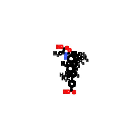 C=C(C)[C@]1(C)CC[C@]2(C(=O)N[C@@H](C)C(=O)O)CC[C@]3(C)[C@H](CC[C@@H]4[C@@]5(C)CC=C(c6ccc(C(=O)O)cc6)C(C)(C)[C@@H]5CC[C@]43C)[C@H]21